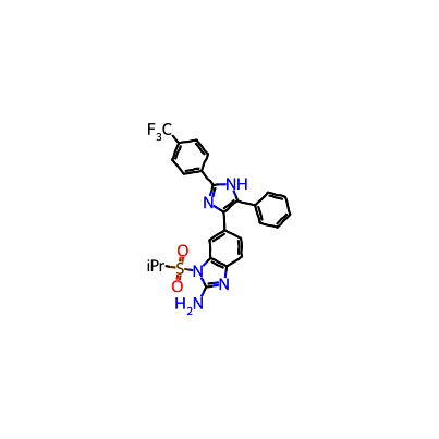 CC(C)S(=O)(=O)n1c(N)nc2ccc(-c3nc(-c4ccc(C(F)(F)F)cc4)[nH]c3-c3ccccc3)cc21